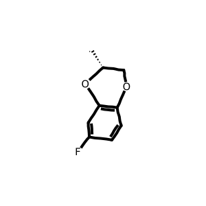 [CH2][C@@H]1COc2ccc(F)cc2O1